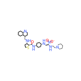 O=C(Nc1ccc(NC=C(NCCN2CCCCC2)[N+](=O)[O-])cc1)c1sccc1NCc1ccnc2ccccc12